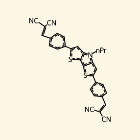 CCCn1c2cc(-c3ccc(C=C(C#N)C#N)cc3)sc2c2sc(-c3ccc(C=C(C#N)C#N)cc3)cc21